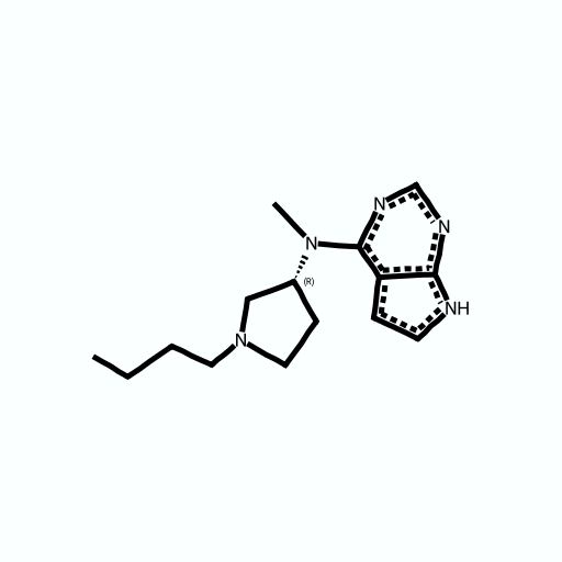 CCCCN1CC[C@@H](N(C)c2ncnc3[nH]ccc23)C1